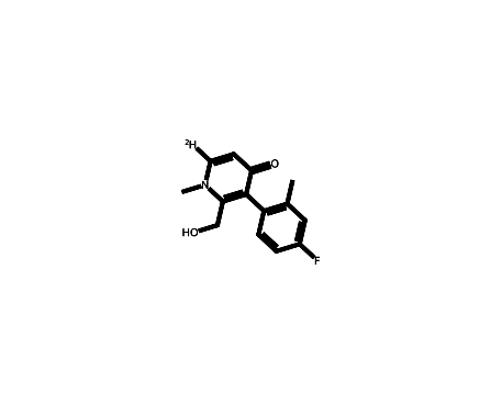 [2H]c1cc(=O)c(-c2ccc(F)cc2C)c(CO)n1C